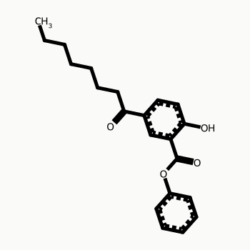 CCCCCCCC(=O)c1ccc(O)c(C(=O)Oc2ccccc2)c1